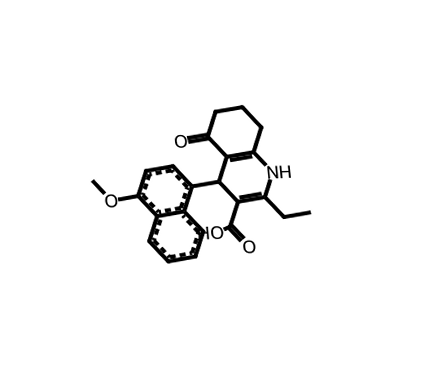 CCC1=C(C(=O)O)C(c2ccc(OC)c3ccccc23)C2=C(CCCC2=O)N1